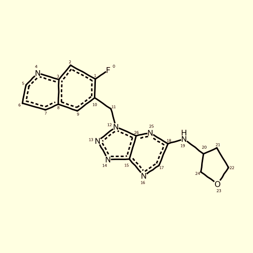 Fc1cc2ncccc2cc1Cn1nnc2ncc(NC3CCOC3)nc21